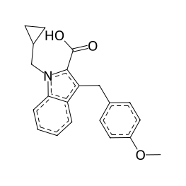 COc1ccc(Cc2c(C(=O)O)n(CC3CC3)c3ccccc23)cc1